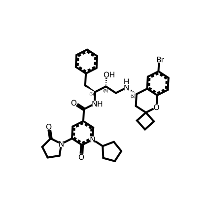 O=C(N[C@@H](Cc1ccccc1)[C@H](O)CN[C@H]1CC2(CCC2)Oc2ccc(Br)cc21)c1cc(N2CCCC2=O)c(=O)n(C2CCCC2)c1